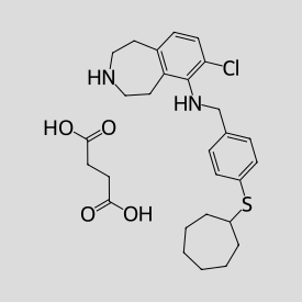 Clc1ccc2c(c1NCc1ccc(SC3CCCCCC3)cc1)CCNCC2.O=C(O)CCC(=O)O